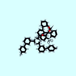 O=S1(=O)c2ccccc2C2(c3ccccc3-c3ccccc3-c3ccc(-c4nc(-c5cccc(-c6ccc(F)cc6)c5)nc(-c5cccc(-c6ccc(F)cc6)c5)n4)cc32)c2ccccc21